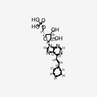 O=P(O)(O)OC[C@H]1O[C@@H](n2cnc3c(/C=C/c4ccccc4)ncnc32)[C@H](O)[C@@H]1O